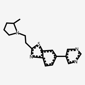 CC1CCCN1CCc1nc2ccc(-c3cncnc3)cc2s1